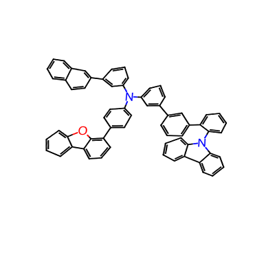 c1cc(-c2cccc(N(c3ccc(-c4cccc5c4oc4ccccc45)cc3)c3cccc(-c4ccc5ccccc5c4)c3)c2)cc(-c2ccccc2-n2c3ccccc3c3ccccc32)c1